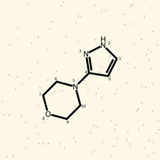 [c]1c[nH]nc1N1CCOCC1